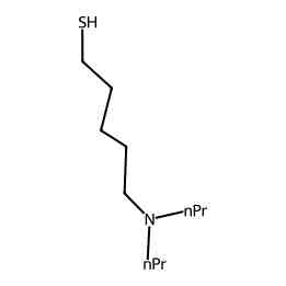 CCCN(CCC)CCCCCS